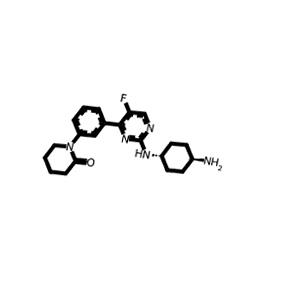 N[C@H]1CC[C@H](Nc2ncc(F)c(-c3cccc(N4CCCCC4=O)c3)n2)CC1